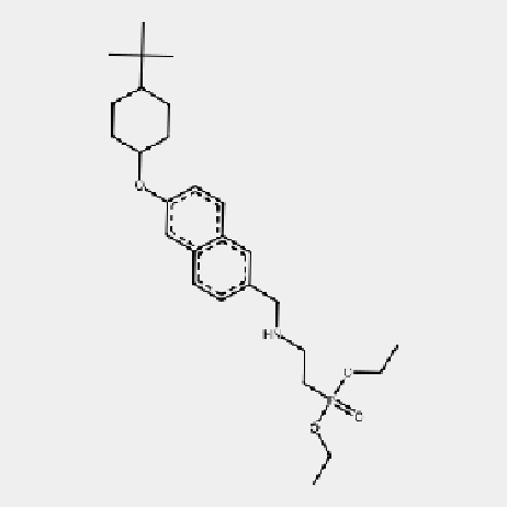 CCOP(=O)(CCNCc1ccc2cc(OC3CCC(C(C)(C)C)CC3)ccc2c1)OCC